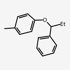 CCC(Oc1ccc(C)cc1)c1ccccc1